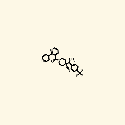 CC(c1ccc(C(F)(F)F)cc1)C1(C#N)CCN(C(=O)c2cccnc2-c2ccncc2)CC1